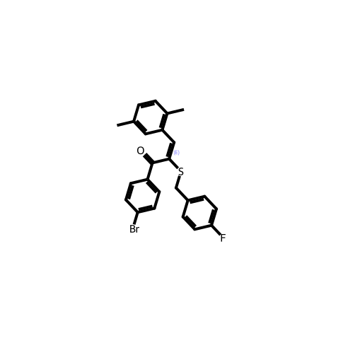 Cc1ccc(C)c(/C=C(/SCc2ccc(F)cc2)C(=O)c2ccc(Br)cc2)c1